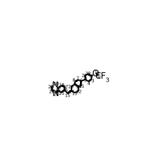 FC(F)(F)Oc1ccc(-c2ccc3c(c2)CCC(=Cc2ccc4nccnc4c2)C3)cc1